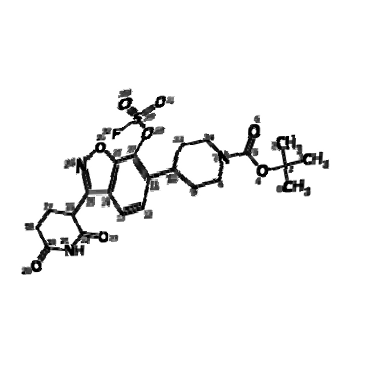 CC(C)(C)OC(=O)N1CCC(c2ccc3c(C4CCC(=O)NC4=O)noc3c2OS(=O)(=O)F)CC1